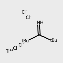 CC(C)(C)C(=N)C(C)(C)C.[Cl-].[Cl-].[Cl-].[Cl-].[Ti+4]